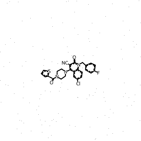 N#Cc1c(N2CCN(C(=O)c3cccs3)CC2)c2cc(Cl)ccc2n(Cc2ccc(F)cc2)c1=O